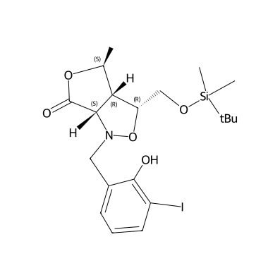 C[C@@H]1OC(=O)[C@@H]2[C@H]1[C@H](CO[Si](C)(C)C(C)(C)C)ON2Cc1cccc(I)c1O